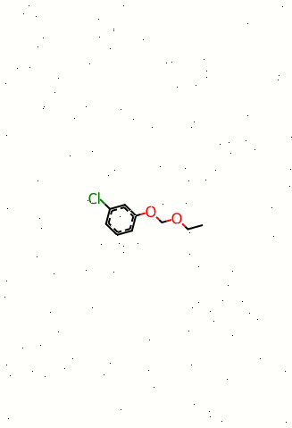 CCOCOc1cccc(Cl)c1